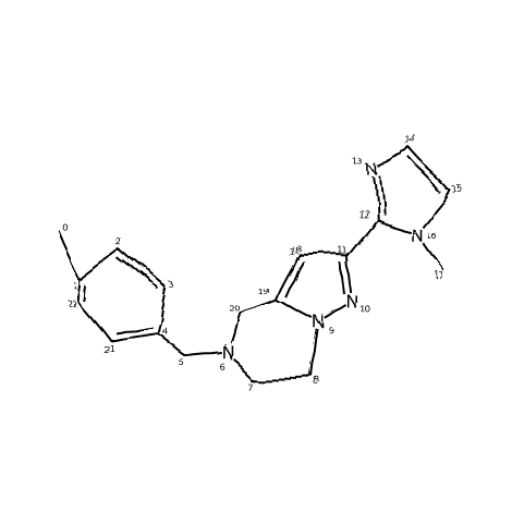 Cc1ccc(CN2CCn3nc(-c4nccn4C)cc3C2)cc1